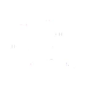 CC(C)(CN)C(C(=O)O)C(=O)O